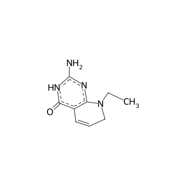 CCN1CC=Cc2c1nc(N)[nH]c2=O